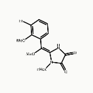 CCCCCCN1C(=O)C(=O)NC1=C(OC)c1cccc(CC)c1OC